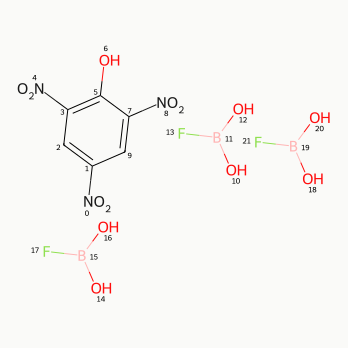 O=[N+]([O-])c1cc([N+](=O)[O-])c(O)c([N+](=O)[O-])c1.OB(O)F.OB(O)F.OB(O)F